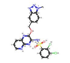 Cn1nnc2cc(COc3nc4cccnc4nc3NS(=O)(=O)c3cccc(Cl)c3Cl)ccc21